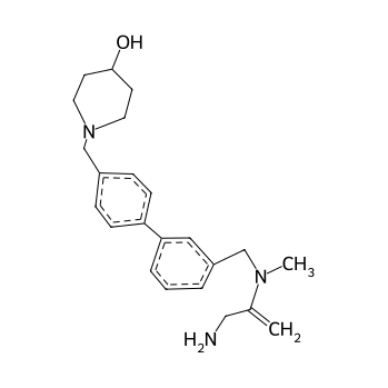 C=C(CN)N(C)Cc1cccc(-c2ccc(CN3CCC(O)CC3)cc2)c1